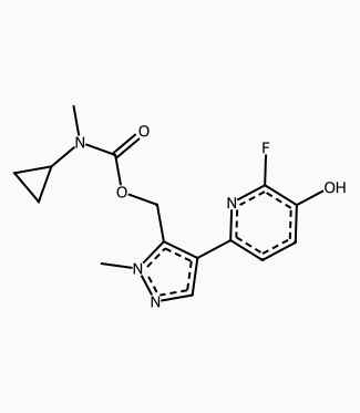 CN(C(=O)OCc1c(-c2ccc(O)c(F)n2)cnn1C)C1CC1